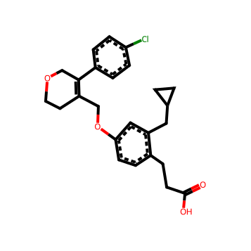 O=C(O)CCc1ccc(OCC2=C(c3ccc(Cl)cc3)COCC2)cc1CC1CC1